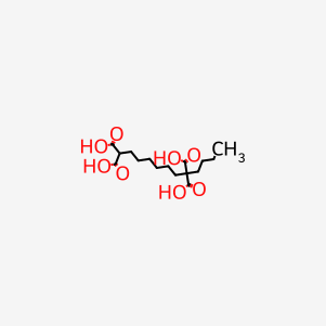 CCCCC(CCCCCCC(C(=O)O)C(=O)O)(C(=O)O)C(=O)O